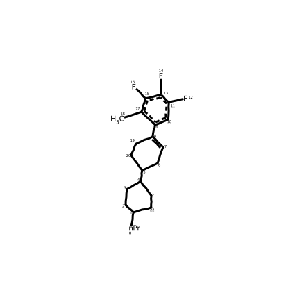 CCCC1CCC(C2CC=C(c3cc(F)c(F)c(F)c3C)CC2)CC1